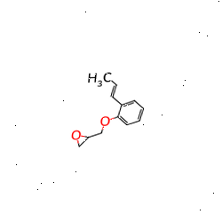 CC=Cc1ccccc1OCC1CO1